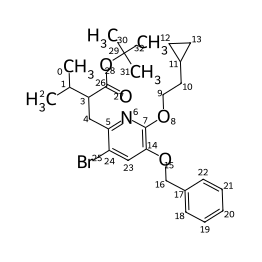 CC(C)C(Cc1nc(OCCC2CC2)c(OCc2ccccc2)cc1Br)C(=O)OC(C)(C)C